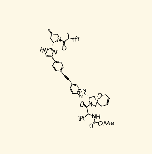 C=C1C[C@@H](c2nc(-c3ccc(C#Cc4ccc5[nH]c([C@@H]6C[C@@]7(CC=CCO7)CN6C(=O)[C@@H](NC(=O)OC)C(C)C)nc5c4)cc3)c[nH]2)N(C(=O)[C@@H](C)C(C)C)C1